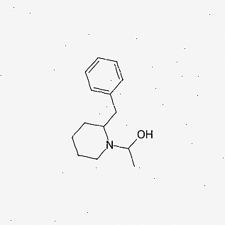 CC(O)N1CCCCC1Cc1ccccc1